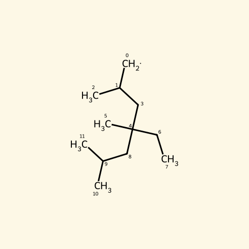 [CH2]C(C)CC(C)(CC)CC(C)C